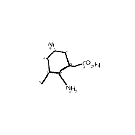 CC1CCCC(C(=O)O)C1N.[Ni]